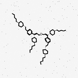 CCCCC[C@H]1CC[C@H](CCc2ccc(C(=CCOCC=C(c3ccc(CC[C@H]4CC[C@H](CCCCC)CC4)cc3)[C@H]3CC[C@H](CCCCC)CC3)[C@H]3CC[C@H](CCCCC)CC3)cc2)CC1